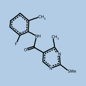 CSc1ncc(C(=O)Nc2c(C)cccc2F)c(C)n1